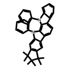 CC1(C)c2cc3c4ccc5c6ccccc6n(-c6ccccc6)c5c4n(-c4ccccc4)c3cc2C(C)(C)C1(C)C